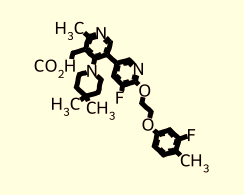 Cc1ccc(OCCOc2ncc(-c3cnc(C)c(CC(=O)O)c3N3CCC(C)(C)CC3)cc2F)cc1F